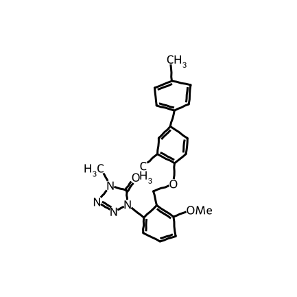 COc1cccc(-n2nnn(C)c2=O)c1COc1ccc(-c2ccc(C)cc2)cc1C